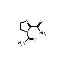 NC(=O)C1=NCCN1C(N)=O